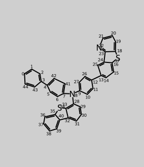 c1ccc(-c2ccc(N(c3ccc(-c4ccc5sc6cccnc6c5c4)cc3)c3cccc4c3sc3ccccc34)cc2)cc1